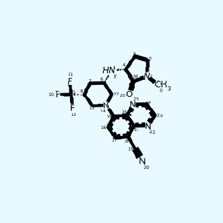 CN1CC[C@@H](N[C@H]2C[C@@H](C(F)(F)F)CN(c3ccc(C#N)c4nccnc34)C2)C1=O